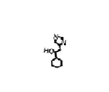 OC(CC1C=NC=N1)C1CCCCC1